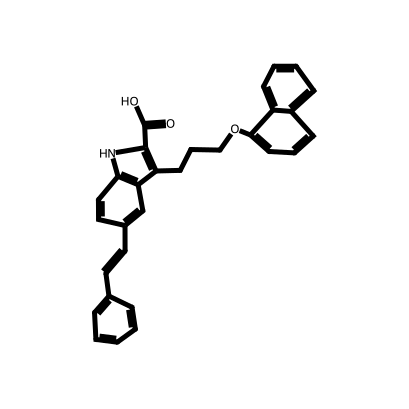 O=C(O)c1[nH]c2ccc(C=Cc3ccccc3)cc2c1CCCOc1cccc2ccccc12